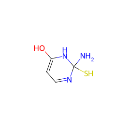 NC1(S)N=CC=C(O)N1